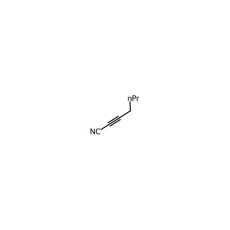 [CH2]CCCC#CC#N